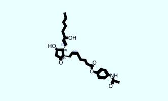 CCCCCC(O)/C=C/[C@H]1C(O)CC(=O)[C@@H]1C/C=C\CCCC(=O)Oc1ccc(NC(C)=O)cc1